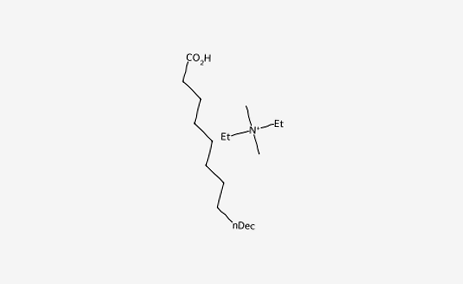 CCCCCCCCCCCCCCCCCC(=O)O.CC[N+](C)(C)CC